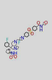 COC(=O)N[C@H]1CCC[C@@H]1C(CN1CCC1)(c1cccc(F)c1)C1CCN(CC2(F)CN(c3ccc(S(=O)(=O)c4ccc(C(=O)NC5COC5)cc4)cc3)C2)CC1